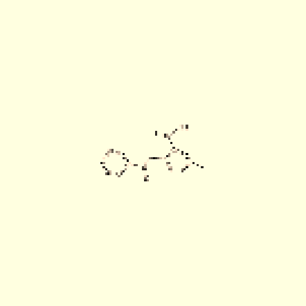 Cc1ccc(CC(=O)c2ccccc2)c(C(=O)O)c1